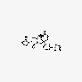 CCCCc1cn(-c2ccnn2CC)c(=O)n1CC1(c2cccc(-c3nnn[nH]3)c2)C=CNC=C1